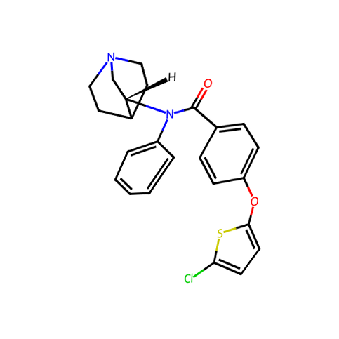 O=C(c1ccc(Oc2ccc(Cl)s2)cc1)N(c1ccccc1)[C@H]1CN2CCC1CC2